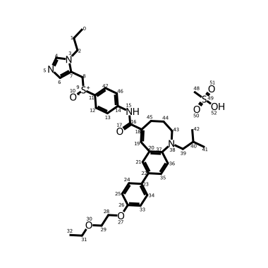 CCCn1cncc1C[S+]([O-])c1ccc(NC(=O)C2=Cc3cc(-c4ccc(OCCOCC)cc4)ccc3N(CC(C)C)CCC2)cc1.CS(=O)(=O)O